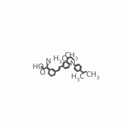 CCC(C)c1ccc(N2CCC(C)(C)c3cc(/C=C/C4=CC(=C(\C#N)C(=O)O)/CCC4)ccc32)cc1